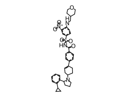 O=C(NS(=O)(=O)c1ccc(NCC2CCOCC2)c([N+](=O)[O-])c1)c1ccc(C2=CCC(N3CCCC3c3ccccc3C3CC3)CC2)cc1